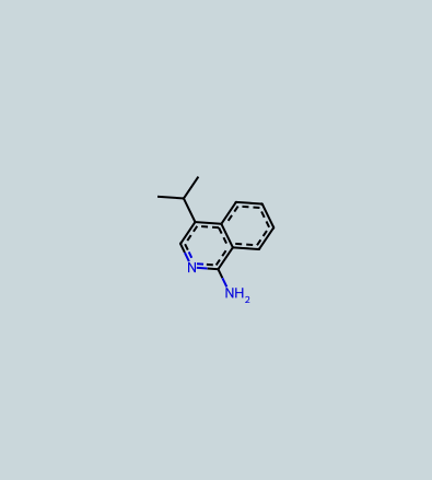 CC(C)c1cnc(N)c2ccccc12